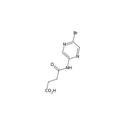 O=C(O)CCC(=O)Nc1cnc(Br)cn1